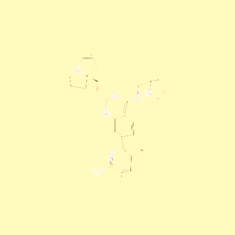 Cc1c(F)c(N)nc(-c2c(Cl)cc3c(N4CC5CCC(C4)N5)nc(OC[C@@]45CCCN4C[C@H](C)C5)nc3c2F)c1C(F)(F)F